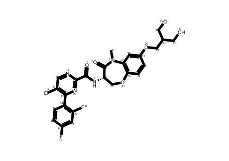 CN1C(=O)[C@@H](NC(=O)c2ncc(Cl)c(-c3ccc(F)cc3F)n2)COc2ccc(OCC(CO)CCl)cc21